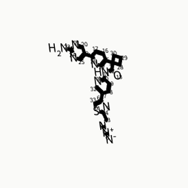 [N-]=[N+]=NCc1nc(-c2ccc(NC(=O)C3(c4ccc(-c5cnc(N)nc5)nc4)CCC3)nc2)cs1